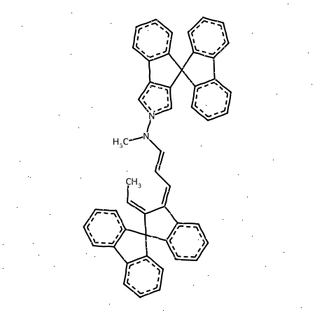 C\C=C1/C(=C\C=C\N(C)n2cc3c(c2)C2(c4ccccc4-c4ccccc42)c2ccccc2-3)c2ccccc2C12c1ccccc1-c1ccccc12